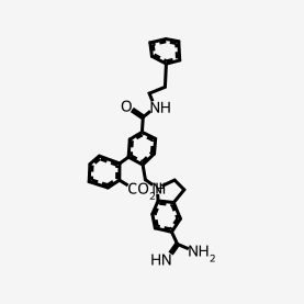 N=C(N)c1ccc2c(c1)CCN2Cc1ccc(C(=O)NCCc2ccccc2)cc1-c1ccccc1C(=O)O